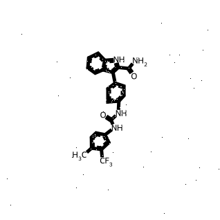 Cc1ccc(NC(=O)Nc2ccc(-c3c(C(N)=O)[nH]c4ccccc34)cc2)cc1C(F)(F)F